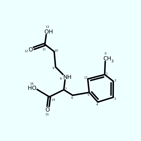 Cc1cccc(CC(NCCC(=O)O)C(=O)O)c1